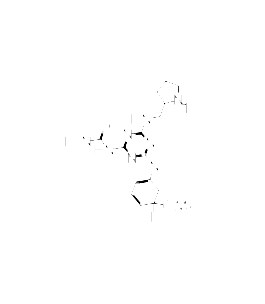 CCN1CCCC1CNc1nc(NC(N)=O)nc(NC2=CC=CC(F)(OC)C2)n1